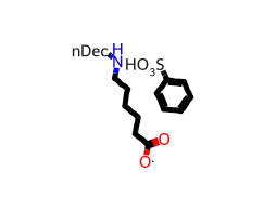 CCCCCCCCCCNCCCCCC([O])=O.O=S(=O)(O)c1ccccc1